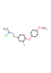 COc1ccc(Oc2ccc(CCN(C)Cl)cc2I)cc1